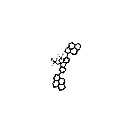 FC(F)(F)CC1(CC(F)(F)F)c2cc(-c3ccc4ccc5cccc6ccc3c4c56)ccc2-c2ccc(-c3ccc4ccc5cccc6ccc3c4c56)cc21